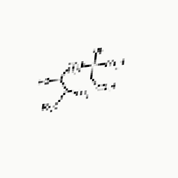 CC(C(=O)O)C(O)C(=O)O.CC(O)(CC(=O)O)C(=O)O